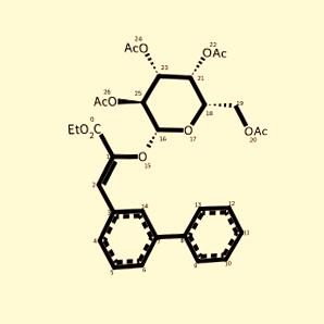 CCOC(=O)C(=Cc1cccc(-c2ccccc2)c1)O[C@H]1O[C@@H](COC(C)=O)[C@@H](OC(C)=O)[C@@H](OC(C)=O)[C@@H]1OC(C)=O